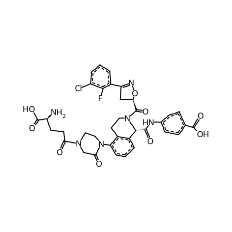 N[C@@H](CCC(=O)N1CCN(c2cccc3c2CCN(C(=O)[C@H]2CC(c4cccc(Cl)c4F)=NO2)[C@@H]3C(=O)Nc2ccc(C(=O)O)cc2)C(=O)C1)C(=O)O